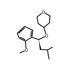 COc1ccccc1[C@H](CC(C)C)OC1CCOCC1